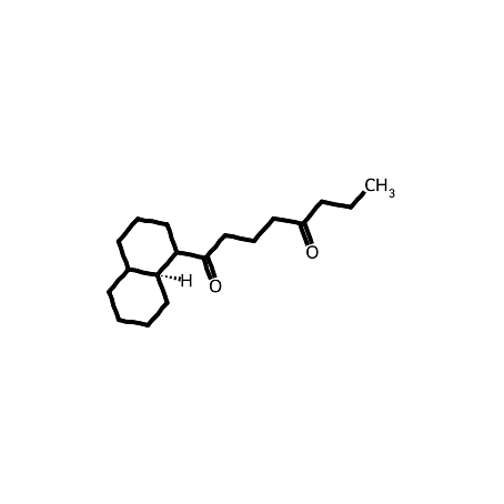 CCCC(=O)CCCC(=O)C1CCCC2CCCC[C@@H]21